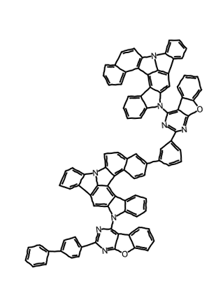 c1ccc(-c2ccc(-c3nc(-n4c5ccccc5c5c6c7c8ccc(-c9cccc(-c%10nc(-n%11c%12ccccc%12c%12c%13c%14c%15ccccc%15ccc%14n%14c%15ccccc%15c(cc%12%11)c%13%14)c%11c(n%10)oc%10ccccc%10%11)c9)cc8ccc7n7c8ccccc8c(cc54)c67)c4c(n3)oc3ccccc34)cc2)cc1